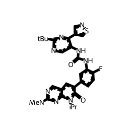 CNc1ncc2cc(-c3ccc(F)c(NC(=O)Nc4cnc(C(C)(C)C)nc4-c4cnsc4)c3)c(=O)n(C(C)C)c2n1